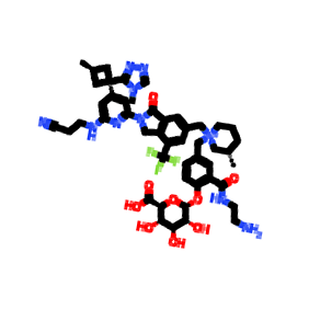 C[C@H]1CCC[N+](Cc2ccc(O[C@@H]3O[C@H](C(=O)O)[C@@H](O)[C@H](O)[C@H]3O)c(C(=O)NCCN)c2)(Cc2cc3c(c(C(F)(F)F)c2)CN(c2cc([C@]4(c5nncn5C)C[C@@H](C)C4)cc(NCCC#N)n2)C3=O)C1